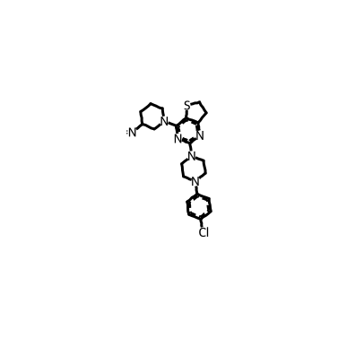 [N]C1CCCN(c2nc(N3CCN(c4ccc(Cl)cc4)CC3)nc3c2SCC3)C1